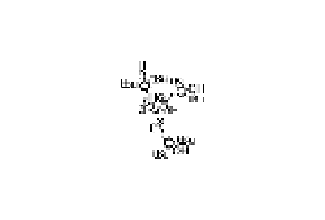 CC(C)(C)c1cc(CCC(=O)OCC(CO)(COC(=O)CCc2cc(C(C)(C)C)c(O)c(C(C)(C)C)c2)COC(O)CCc2cc(C(C)(C)C)c(O)c(C(C)(C)C)c2)cc(C(C)(C)C)c1O